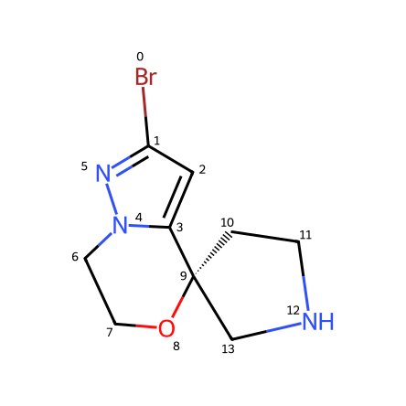 Brc1cc2n(n1)CCO[C@@]21CCNC1